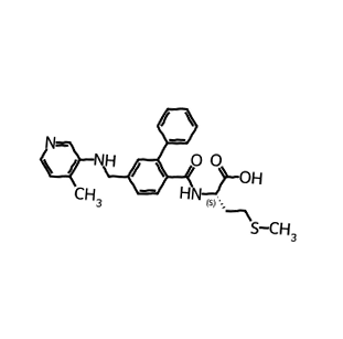 CSCC[C@H](NC(=O)c1ccc(CNc2cnccc2C)cc1-c1ccccc1)C(=O)O